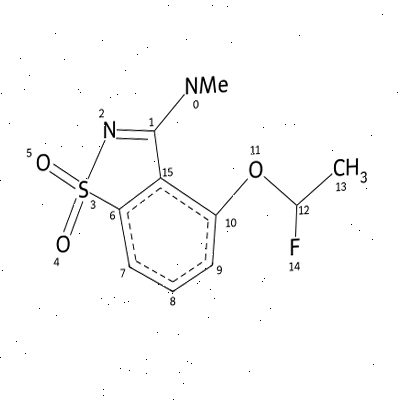 CNC1=NS(=O)(=O)c2cccc(OC(C)F)c21